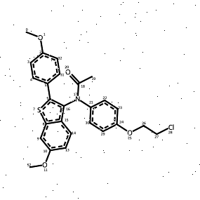 COc1ccc(-c2sc3cc(OC)ccc3c2N(C(C)=O)c2ccc(OCCCl)cc2)cc1